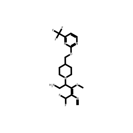 C=N/C(=C(\SC)C(CN)N1CCC(COc2nccc(C(F)(F)F)n2)CC1)C(F)F